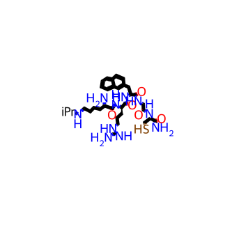 CC(C)NCCCCC(N)C(=O)N[C@H](CCCNC(=N)N)C(=O)NC(Cc1ccc2ccccc2c1)C(=O)NCC(=O)NC(CS)C(N)=O